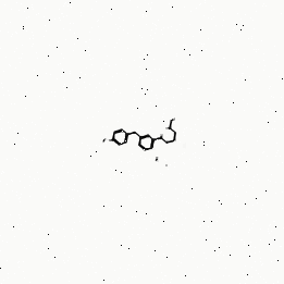 CCOc1ccc(Cc2ccc(OCO)c(C3CC(O)CC(CO)O3)c2)cc1